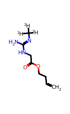 [2H]C([2H])([2H])N=C(N)NCC(=O)OCCC=C